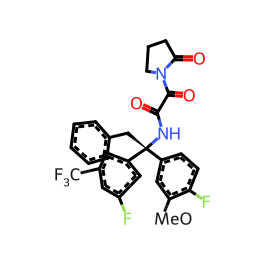 COc1cc([C@@](Cc2ccccc2)(NC(=O)C(=O)N2CCCC2=O)c2cc(F)cc(C(F)(F)F)c2)ccc1F